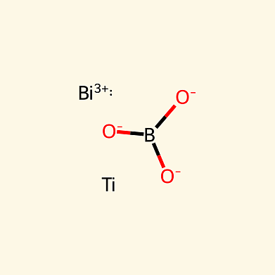 [Bi+3].[O-]B([O-])[O-].[Ti]